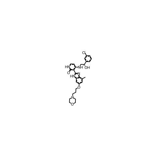 Cc1cc(OCCCN2CCOCC2)cc2[nH]c(-c3c(NC[C@@H](O)c4cccc(Cl)c4)cc[nH]c3=O)nc12